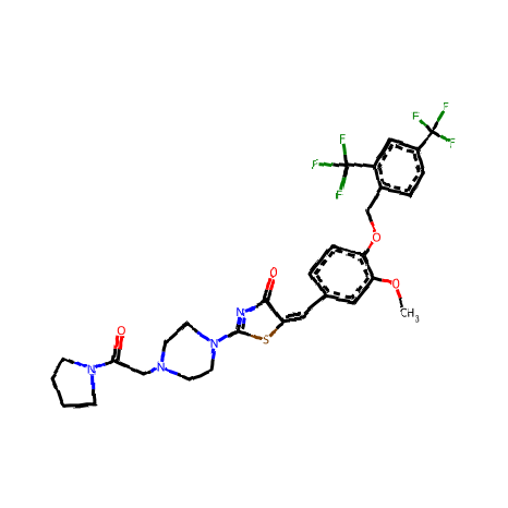 COc1cc(/C=C2/SC(N3CCN(CC(=O)N4CCCC4)CC3)=NC2=O)ccc1OCc1ccc(C(F)(F)F)cc1C(F)(F)F